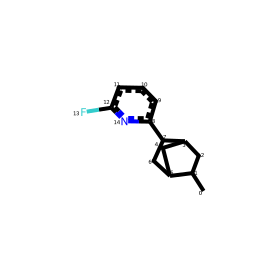 CC1CC2CC1CC2c1cccc(F)n1